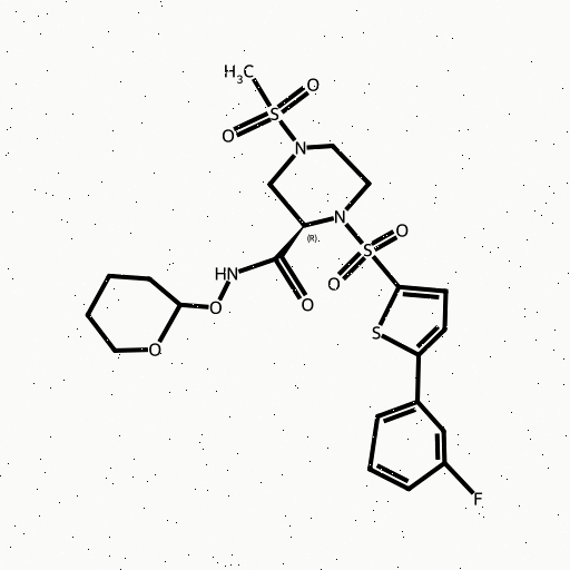 CS(=O)(=O)N1CCN(S(=O)(=O)c2ccc(-c3cccc(F)c3)s2)[C@@H](C(=O)NOC2CCCCO2)C1